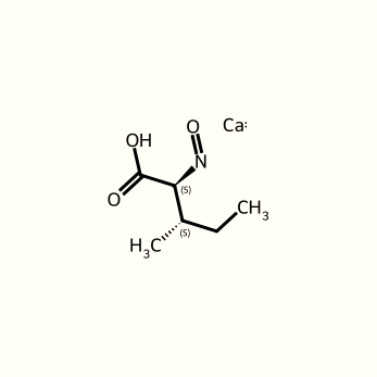 CC[C@H](C)[C@H](N=O)C(=O)O.[Ca]